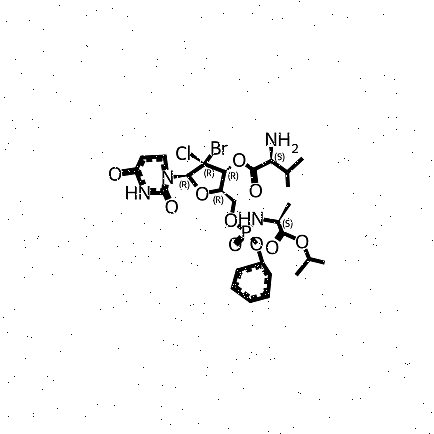 CC(C)OC(=O)[C@H](C)NP(=O)(OC[C@H]1O[C@@H](n2ccc(=O)[nH]c2=O)[C@](Cl)(Br)[C@@H]1OC(=O)[C@@H](N)C(C)C)Oc1ccccc1